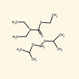 CC(C)O[SiH2]OC(C)C.CCSC(=S)N(CC)CC